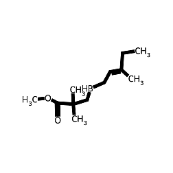 CC/C(C)=C/CBCC(C)(C)C(=O)OC